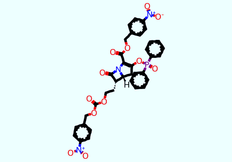 O=C(OCC[C@@H]1C(=O)N2C(C(=O)OCc3ccc([N+](=O)[O-])cc3)=C(OP(=O)(c3ccccc3)c3ccccc3)C[C@H]12)OCc1ccc([N+](=O)[O-])cc1